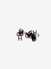 C[C@H]1CN(C(=O)[C@@H]2NC3(CCCCC3)[C@@]3(CNc4cc(C(F)(F)F)ncc43)[C@H]2c2cccc(Cl)c2F)c2ccc(C(=O)N3CCC[C@@H](CC#Cc4cccc5c4CN([C@@H]4CCC(=O)NC4=O)C5=O)C3)cc2O1